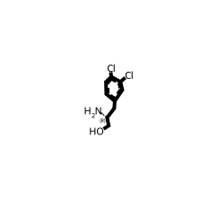 N[C@@H](CO)Cc1ccc(Cl)c(Cl)c1